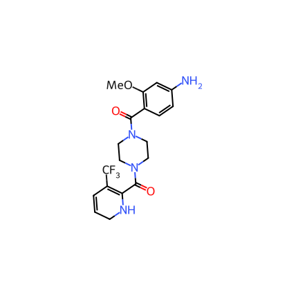 COc1cc(N)ccc1C(=O)N1CCN(C(=O)C2=C(C(F)(F)F)C=CCN2)CC1